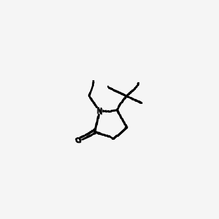 CCN1C(=O)CCC1C(C)(C)C